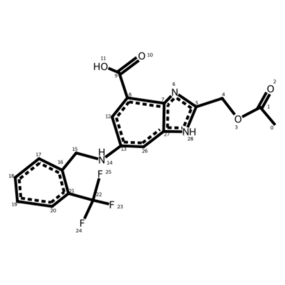 CC(=O)OCc1nc2c(C(=O)O)cc(NCc3ccccc3C(F)(F)F)cc2[nH]1